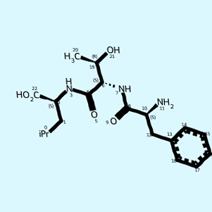 CC(C)C[C@H](NC(=O)[C@@H](NC(=O)[C@@H](N)Cc1ccccc1)[C@@H](C)O)C(=O)O